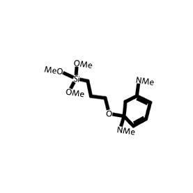 CNC1=CC=CC(NC)(OCCC[Si](OC)(OC)OC)C1